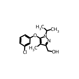 Cc1c(CO)nn(C(C)C)c1Oc1cccc(Cl)c1